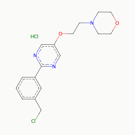 Cl.ClCc1cccc(-c2ncc(OCCN3CCOCC3)cn2)c1